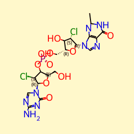 Cc1nc2c(ncn2[C@@H]2O[C@H](COP(=O)(O)OC3[C@@H](CO)O[C@@H](n4cnc(N)nc4=O)[C@H]3Cl)C(O)[C@@H]2Cl)c(=O)[nH]1